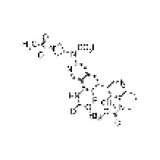 Cc1c(-c2cc3cc(N(C(=O)O)C4CN(S(C)(=O)=O)C4)ncc3c(NC(=O)OC(C)(C)C)c2F)cnc2c1N(C(=O)OC(C)(C)C)CCC2